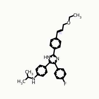 CCOC/C=C/c1ccc(-c2nc(-c3ccc(F)cc3)c(-c3ccc(NC(C)C)cc3)[nH]2)cc1